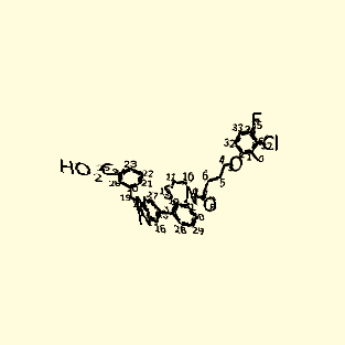 Cc1c(OCCCC(=O)N2CCSc3c(-c4cnn(Cc5cccc(C(=O)O)c5)c4)cccc32)ccc(F)c1Cl